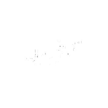 O=C(O)CN1C(=O)/C(=C/c2ccc(CC3SC(=O)NC3=O)cc2)SC1=S